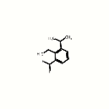 CCc1c(C(C)C)cccc1C(F)F